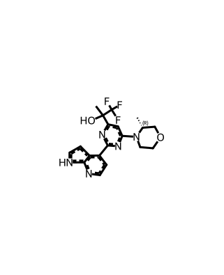 C[C@@H]1COCCN1c1cc(C(C)(O)C(F)(F)F)nc(-c2ccnc3[nH]ccc23)n1